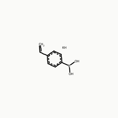 C=Cc1ccc(B(O)O)cc1.[KH]